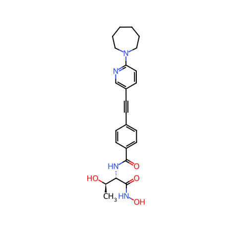 C[C@@H](O)[C@H](NC(=O)c1ccc(C#Cc2ccc(N3CCCCCC3)nc2)cc1)C(=O)NO